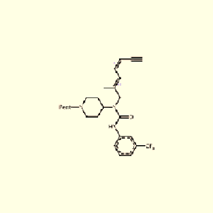 C#C/C=C\C=C(/C)CN(C(=O)Nc1cccc(C(F)(F)F)c1)C1CCN(C(C)CCC)CC1